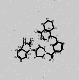 O=C(c1cccc(Cc2n[nH]c(=O)c3c2CCCC3)c1)N1CCC(n2c(=O)[nH]c3ccccc32)CC1